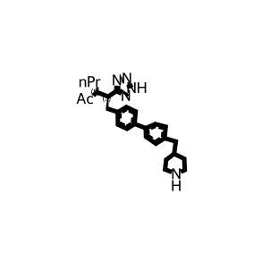 CCC[C@H](C(C)=O)[C@H](Cc1ccc(-c2ccc(CC3CCNCC3)cc2)cc1)c1nn[nH]n1